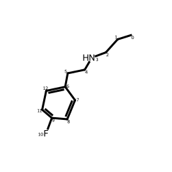 CCCNCCc1ccc(F)cc1